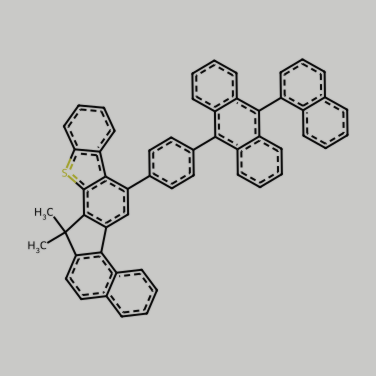 CC1(C)c2ccc3ccccc3c2-c2cc(-c3ccc(-c4c5ccccc5c(-c5cccc6ccccc56)c5ccccc45)cc3)c3c(sc4ccccc43)c21